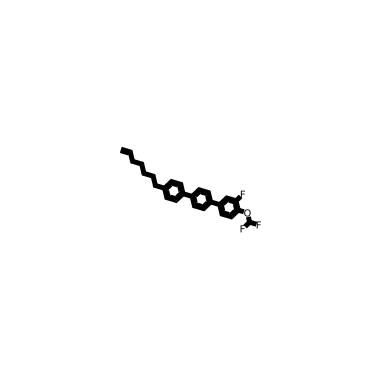 C=CCCCCCc1ccc(-c2ccc(-c3ccc(OC(F)F)c(F)c3)cc2)cc1